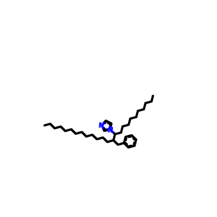 CCCCCCCCCCCCCC(Cc1ccccc1)C(CCCCCCCCCC)n1ccnc1